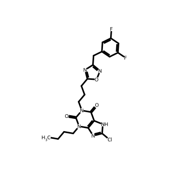 CCCCn1c(=O)n(CCCc2nc(Cc3cc(F)cc(F)c3)no2)c(=O)c2[nH]c(Cl)nc21